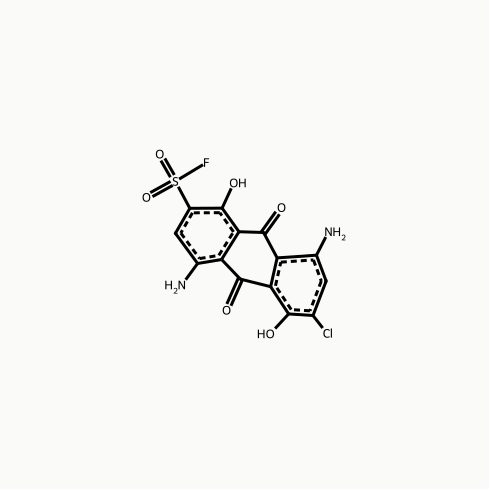 Nc1cc(Cl)c(O)c2c1C(=O)c1c(O)c(S(=O)(=O)F)cc(N)c1C2=O